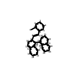 Cc1ccccc1C=Cc1ccc2ccccc2c1-c1cccc2ccccc12